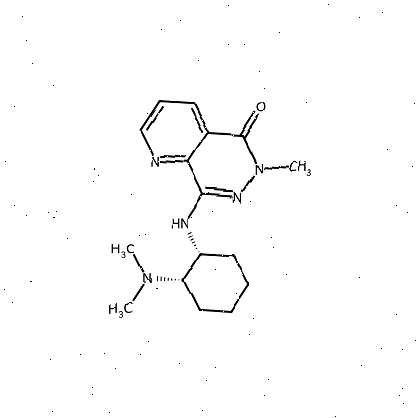 CN(C)[C@H]1CCCC[C@H]1Nc1nn(C)c(=O)c2cccnc12